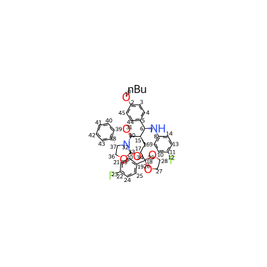 CCCCOc1ccc([C@@H](Nc2ccc(F)cc2)[C@@H](CCC2(c3ccc(F)cc3)OCCO2)C(=O)N2C(=O)OC[C@@H]2c2ccccc2)cc1